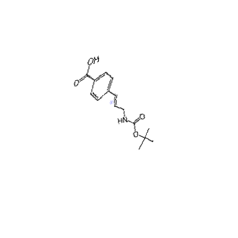 CC(C)(C)OC(=O)NC/C=C/c1ccc(C(=O)O)cc1